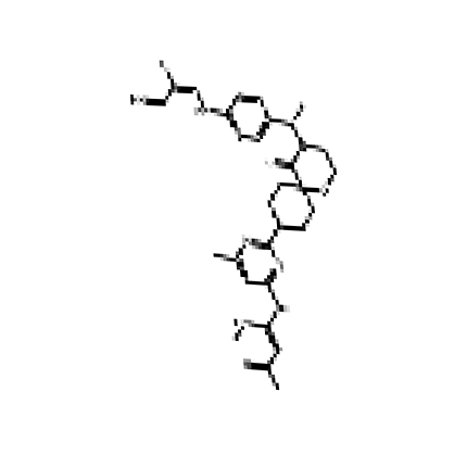 C=C(C)/C=C(\NC)Nc1cc(C)nc(C2CCC3(CC2)OCCN([C@H](C)c2ccc(N/C=C(/F)C=N)nc2)C3=O)n1